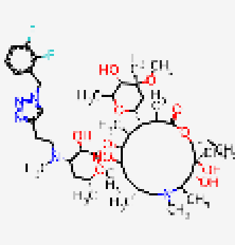 CC[C@H]1OC(=O)[C@H](C)[C@@H](C2C[C@@](C)(OC)[C@@H](O)[C@H](C)O2)[C@H](C)[C@@H](O[C@@H]2O[C@H](C)C[C@H](N(C)CCc3cn(Cc4cccc(F)c4F)nn3)[C@H]2O)[C@](C)(O)C[C@@H](C)CN(C)[C@H](C)[C@@H](O)[C@]1(C)O